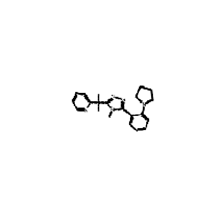 Cn1c(-c2ccccc2N2CCCC2)nnc1C(C)(C)c1ccccn1